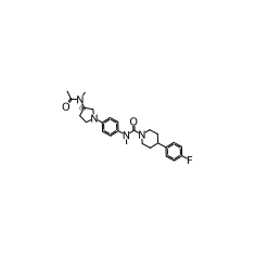 CC(=O)N(C)[C@@H]1CCN(c2ccc(N(C)C(=O)N3CCC(c4ccc(F)cc4)CC3)cc2)C1